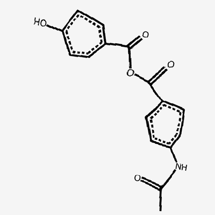 CC(=O)Nc1ccc(C(=O)OC(=O)c2ccc(O)cc2)cc1